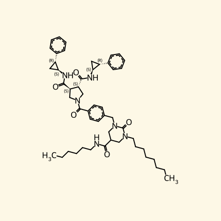 CCCCCCCCN1CC(C(=O)NCCCCCC)CN(Cc2ccc(C(=O)N3C[C@@H](C(=O)N[C@H]4C[C@@H]4c4ccccc4)[C@H](C(=O)N[C@H]4C[C@@H]4c4ccccc4)C3)cc2)C1=O